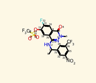 CC(Nc1nn(C)c(=O)c2cc(F)c(OS(=O)(=O)C(F)(F)F)cc12)c1cc([N+](=O)[O-])cc(C(F)(F)F)c1